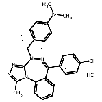 Cc1nnc2n1-c1ccccc1C(c1ccc(Cl)cc1)=NN2Cc1ccc(N(C)C)cc1.Cl